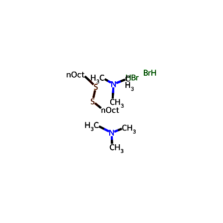 Br.Br.CCCCCCCCSSCCCCCCCC.CN(C)C.CN(C)C